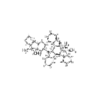 CC1(C)c2ccccc2-c2ccc(-n3c4ccccc4c4c5c(c6sc7ccccc7c6c43)C(C)(C)c3ccccc3-5)cc21